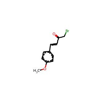 COc1ccc(C=CC(=O)CBr)cc1